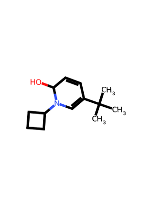 CC(C)(C)C1=CN(C2CCC2)C(O)C=C1